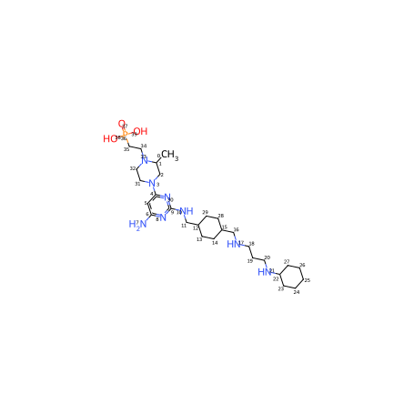 CC1CN(c2cc(N)nc(NCC3CCC(CNCCCNC4CCCCC4)CC3)n2)CCN1CCP(=O)(O)O